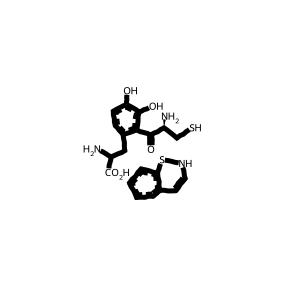 C1=Cc2ccccc2SN1.NC(Cc1ccc(O)c(O)c1C(=O)[C@H](N)CS)C(=O)O